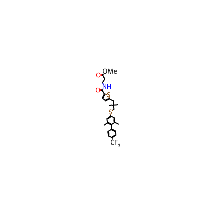 COC(=O)CCNC(=O)c1ccc(CC(C)(C)CSc2cc(C)c(-c3ccc(C(F)(F)F)cc3)c(C)c2)s1